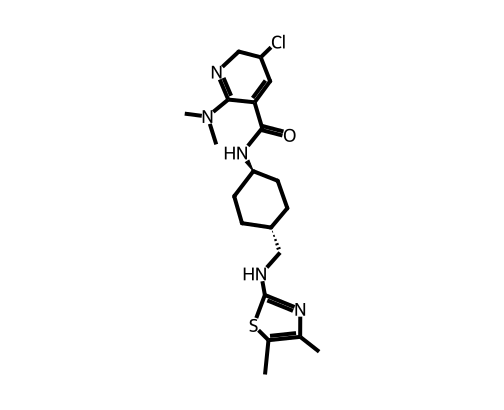 Cc1nc(NC[C@H]2CC[C@H](NC(=O)C3=CC(Cl)CN=C3N(C)C)CC2)sc1C